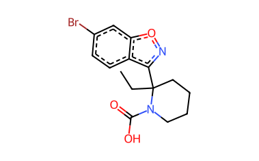 CCC1(c2noc3cc(Br)ccc23)CCCCN1C(=O)O